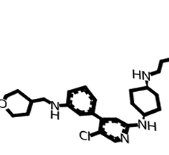 FCCN[C@H]1CC[C@H](Nc2cc(-c3cccc(NCC4CCOCC4)c3)c(Cl)cn2)CC1